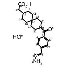 Cl.NN=Cc1ccc(C(=O)N2CCC3(CCC(CC(=O)O)CC3)CC2)cc1